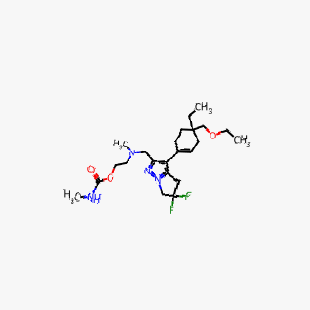 CCOCC1(CC)CC=C(c2c(CN(C)CCOC(=O)NC)nn3c2CC(F)(F)C3)CC1